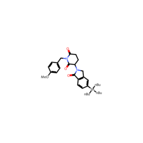 CCC[CH2][Sn]([CH2]CCC)([CH2]CCC)[c]1ccc2c(c1)CN(C1CCC(=O)N(Cc3ccc(OC)cc3)C1=O)C2=O